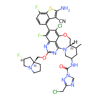 CC1CC(NC(=O)n2cnc(CCl)n2)CN2c3nc(OC[C@@]45CCCN4C[C@H](F)C5)nc4c(F)c(-c5ccc(F)c6sc(N)c(C#N)c56)c(Cl)c(c34)OC[C@H]12